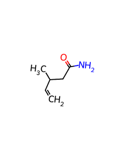 C=CC(C)CC(N)=O